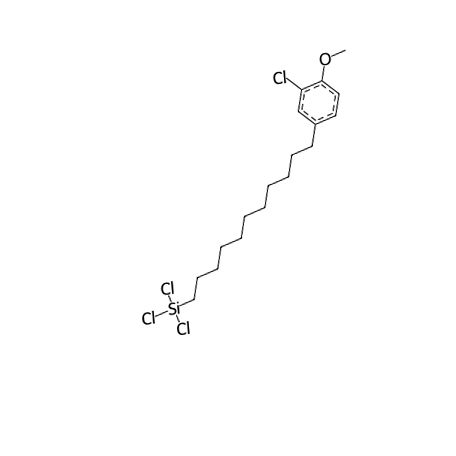 COc1ccc(CCCCCCCCCCC[Si](Cl)(Cl)Cl)cc1Cl